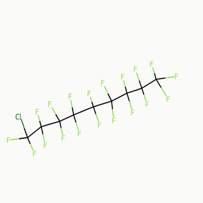 FC(F)(F)C(F)(F)C(F)(F)C(F)(F)C(F)(F)C(F)(F)C(F)(F)C(F)(F)C(F)(F)Cl